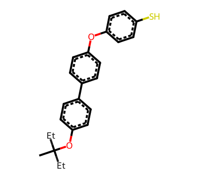 CCC(C)(CC)Oc1ccc(-c2ccc(Oc3ccc(S)cc3)cc2)cc1